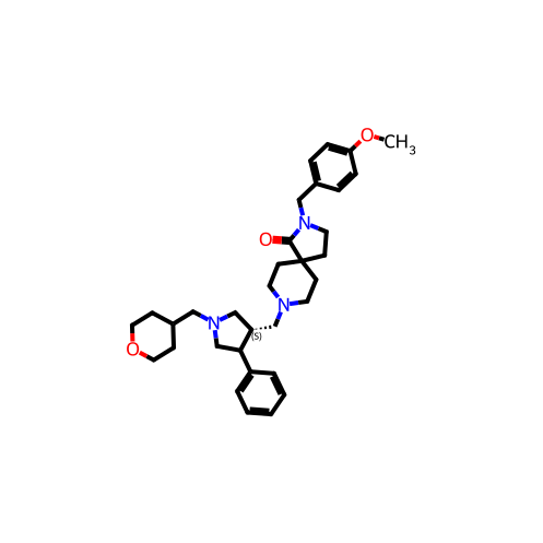 COc1ccc(CN2CCC3(CCN(C[C@H]4CN(CC5CCOCC5)CC4c4ccccc4)CC3)C2=O)cc1